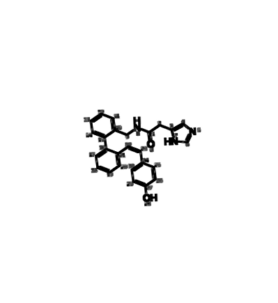 O=C(Cc1cnc[nH]1)NCc1ccccc1-c1ccccc1C=Cc1ccc(O)cc1